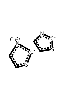 [Cu+2].[c-]1nccs1.[c-]1nccs1